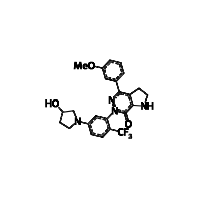 COc1cccc(-c2nn(-c3cc(N4CCC(O)C4)ccc3C(F)(F)F)c(=O)c3c2CCN3)c1